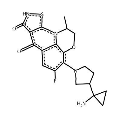 CC1COc2c(N3CCC(C4(N)CC4)C3)c(F)cc3c(=O)c4c(=O)[nH]sc4n1c23